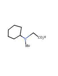 CC(C)(C)N(CC(=O)O)C1CCCCC1